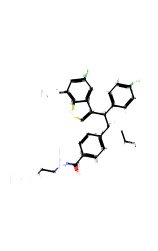 N#Cc1cc(Cl)cc2c(C(c3ccc(Cl)cc3)[C@H](CCC(F)(F)F)c3ccc(C(=O)NCCC(=O)O)cc3)csc12